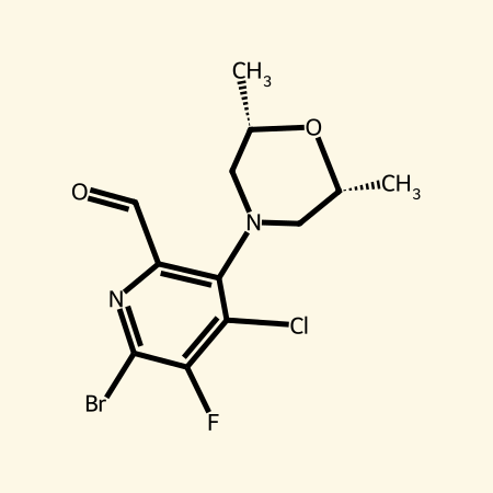 C[C@@H]1CN(c2c(C=O)nc(Br)c(F)c2Cl)C[C@H](C)O1